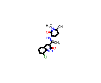 C[C@H](Nc1ccc(C#N)n(C)c1=O)c1cc2cccc(Cl)c2[nH]c1=O